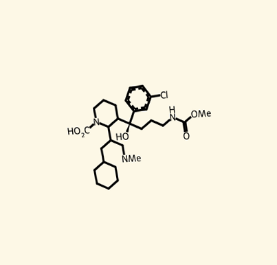 CNCC(CC1CCCCC1)C1C([C@@](O)(CCCNC(=O)OC)c2cccc(Cl)c2)CCCN1C(=O)O